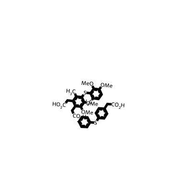 COc1ccc(C)c(Sc2c(C)c(CC(=O)O)c(CC(=O)O)c(OC)c2OC)c1OC.O=C(O)Cc1ccc(Sc2cc[c]cc2)cc1